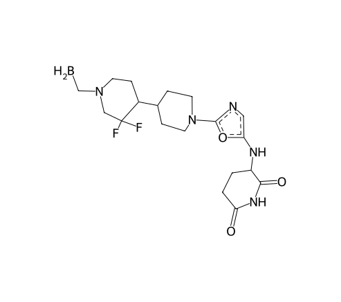 BCN1CCC(C2CCN(c3ncc(NC4CCC(=O)NC4=O)o3)CC2)C(F)(F)C1